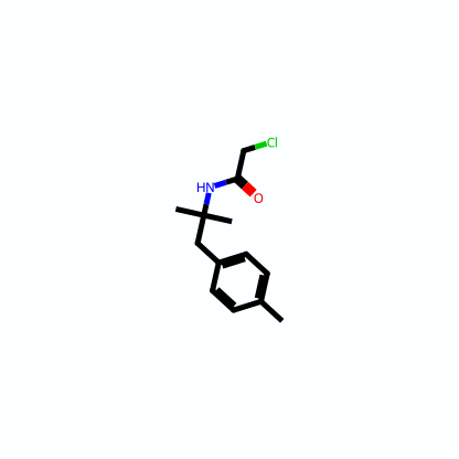 Cc1ccc(CC(C)(C)NC(=O)CCl)cc1